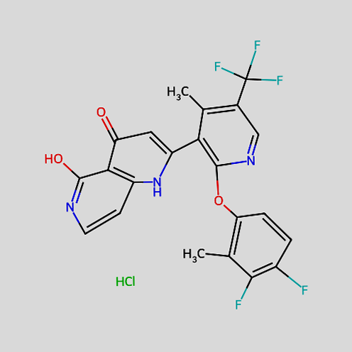 Cc1c(Oc2ncc(C(F)(F)F)c(C)c2-c2cc(=O)c3c(O)nccc3[nH]2)ccc(F)c1F.Cl